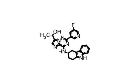 C[C@H](O)c1cnc2c(N[C@@H]3CCc4[nH]c5ccccc5c4C3)nc(-c3cncc(F)c3)nn12